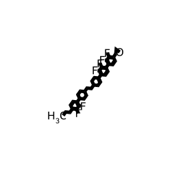 CCCc1ccc(C2CCC(CCC3CC=C(c4ccc(-c5ccc(C6CO6)c(F)c5F)c(F)c4F)CC3)CC2)c(F)c1F